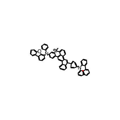 C[Si]1(C)c2cc(N(c3ccccc3)c3cccc4c3oc3ccccc34)ccc2-c2cc3c4ccccc4c(-c4ccc(N(c5ccccc5)c5ccccc5-c5ccccc5)cc4)cc3c3cccc1c23